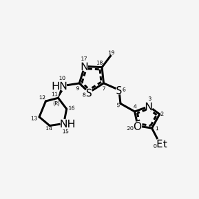 CCc1cnc(CSc2sc(N[C@@H]3CCCNC3)nc2C)o1